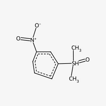 C[SH](C)(=O)c1cccc([N+](=O)[O-])c1